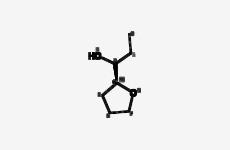 CCC(O)[C@@H]1CCCO1